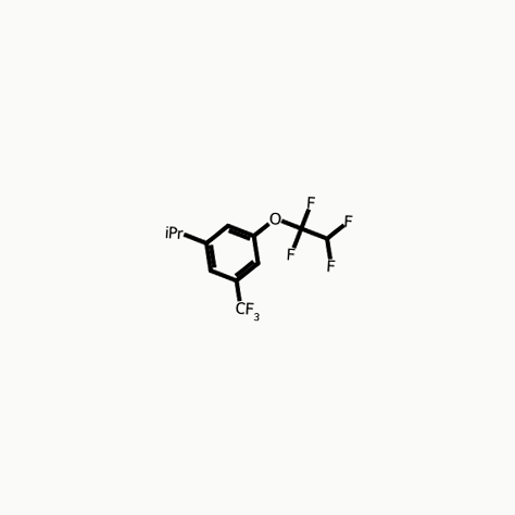 CC(C)c1cc(OC(F)(F)C(F)F)cc(C(F)(F)F)c1